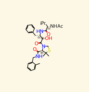 CC(=O)N[C@H](C(=O)N[C@@H](Cc1ccccc1)[C@H](O)C(=O)N1CSC(C)(C)[C@H]1C(=O)NCc1ccccc1C)C(C)C